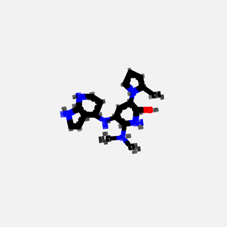 Cc1cccn1-c1cc(Nc2ccnc3[nH]ccc23)c(N(C)C)[nH]c1=O